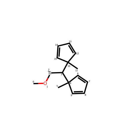 C[O][Ti][CH](C1(C)C=CC=C1)C1(C)C=CC=C1